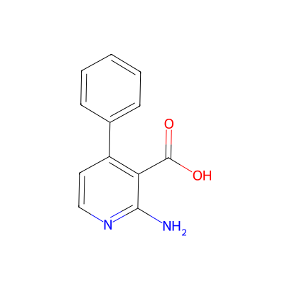 Nc1nccc(-c2ccccc2)c1C(=O)O